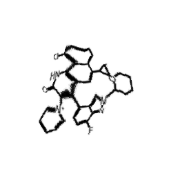 O=c1[nH]c2c(cc(C3CC3)c3cccc(Cl)c32)c(-c2ccc(F)c3nn(C4CCCCO4)cc23)c1-[n+]1ccccc1